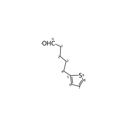 O=[C]CCCCc1cccs1